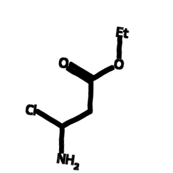 CCOC(=O)CC(N)Cl